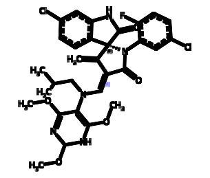 C=C1/C(=C\N(CC(C)C)C2=C(OC)NC(OC)N=C2OC)C(=O)N(c2cc(Cl)ccc2F)[C@]12C(=O)Nc1cc(Cl)ccc12